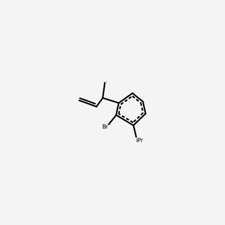 [CH2]C(C=C)c1cccc(C(C)C)c1Br